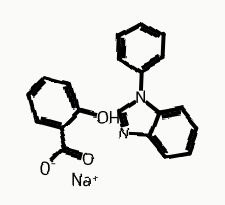 O=C([O-])c1ccccc1O.[Na+].c1ccc(-n2cnc3ccccc32)cc1